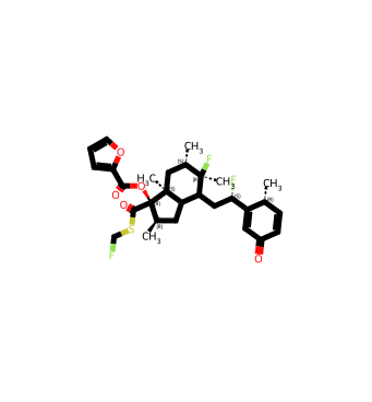 C[C@@H]1C=CC(=O)C=C1[C@@H](F)CC1C2C[C@@H](C)[C@](OC(=O)c3ccco3)(C(=O)SCF)[C@@]2(C)C[C@H](C)[C@@]1(C)F